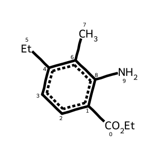 CCOC(=O)c1ccc(CC)c(C)c1N